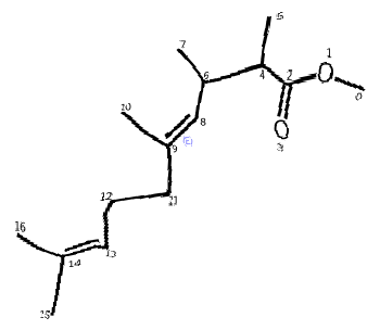 COC(=O)C(C)C(C)/C=C(\C)CCC=C(C)C